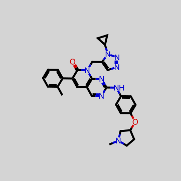 Cc1ccccc1-c1cc2cnc(Nc3ccc(OC4CCN(C)C4)cc3)nc2n(Cc2cnnn2C2CC2)c1=O